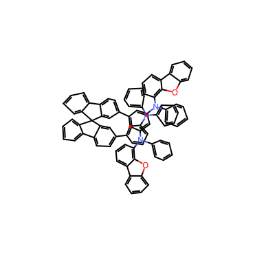 c1ccc(N(c2ccccc2)c2cccc(-c3ccc4c(c3)C3(c5ccccc5-4)c4ccccc4-c4ccc(-c5cc(N(c6ccccc6)c6cccc7c6oc6ccccc67)cc(N(c6ccccc6)c6cccc7c6oc6ccccc67)c5)cc43)c2)cc1